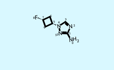 Nc1ncn([C@H]2C[C@@H](F)C2)n1